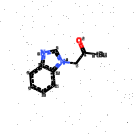 CC(C)(C)C(=O)Cn1cnc2ccccc21